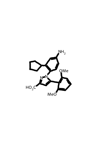 COc1cccc(OC)c1-c1cc(C(=O)O)nn1-c1ccc(N)cc1C1CCCC1